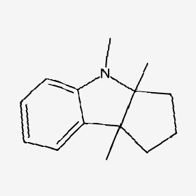 CN1c2ccccc2C2(C)CCCC12C